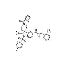 O=C(NCc1ncccc1C(F)(F)F)c1ccc2c(c1)C1(CCN(C(=O)c3nccs3)CC1)C(C1CC1)N2S(=O)(=O)c1ccc(F)cc1